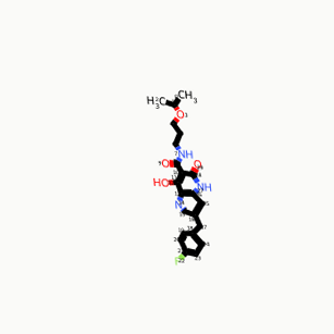 CC(C)OCCCNC(=O)c1c(O)c2ncc(Cc3ccc(F)cc3)cc2[nH]c1=O